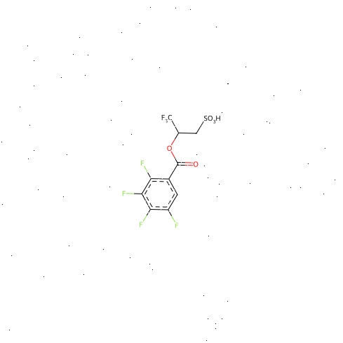 O=C(OC(CS(=O)(=O)O)C(F)(F)F)c1cc(F)c(F)c(F)c1F